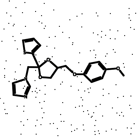 COc1ccc(OCC2COC(Cn3ccnc3)(c3cccs3)O2)cc1